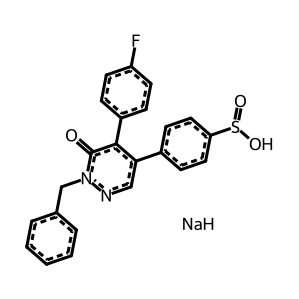 O=c1c(-c2ccc(F)cc2)c(-c2ccc(S(=O)O)cc2)cnn1Cc1ccccc1.[NaH]